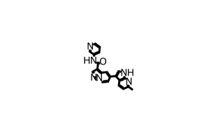 Cc1ccc2c(-c3ccn4ncc(C(=O)Nc5cccnc5)c4c3)c[nH]c2n1